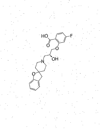 O=C(O)c1ccc(F)cc1OC[C@@H](O)CN1CCC2(CC1)Cc1ccccc1O2